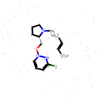 CN1CCC[C@H]1CON1C=CC=C(Cl)N1.O=C(O)C=CC(=O)O